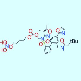 Cc1onc(N(COC(=O)OCCCCCON(O)O)S(=O)(=O)c2ccccc2-c2ccc(-c3ncco3)cc2CN(C)C(=O)CC(C)(C)C)c1C